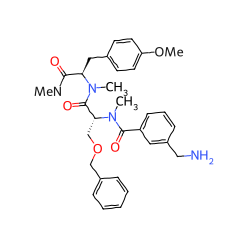 CNC(=O)[C@@H](Cc1ccc(OC)cc1)N(C)C(=O)[C@@H](COCc1ccccc1)N(C)C(=O)c1cccc(CN)c1